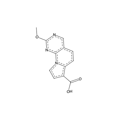 COc1ncc2ccc3c(C(=O)O)ccn3c2n1